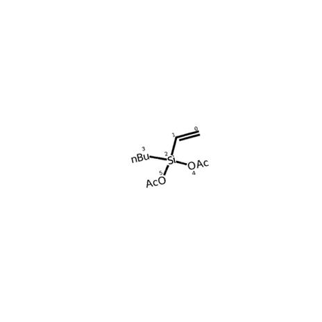 C=C[Si](CCCC)(OC(C)=O)OC(C)=O